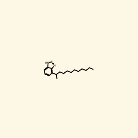 CCCCCCCCCCC(C)c1cccc2[nH]nnc12